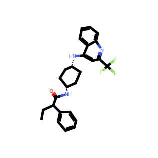 CCC(C(=O)N[C@H]1CC[C@@H](Nc2cc(C(F)(F)F)nc3ccccc23)CC1)c1ccccc1